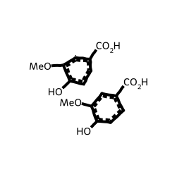 COc1[c]c(C(=O)O)ccc1O.COc1cc(C(=O)O)ccc1O